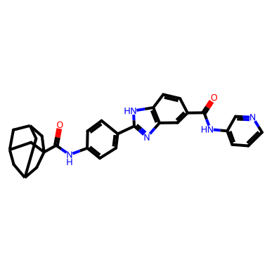 O=C(Nc1cccnc1)c1ccc2[nH]c(-c3ccc(NC(=O)C45CC6CC(CC(C6)C4)C5)cc3)nc2c1